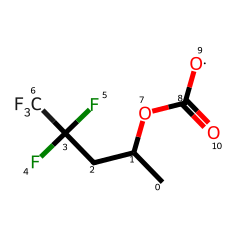 CC(CC(F)(F)C(F)(F)F)OC([O])=O